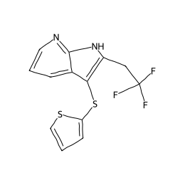 FC(F)(F)Cc1[nH]c2ncccc2c1Sc1cccs1